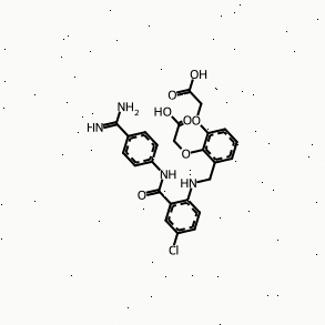 N=C(N)c1ccc(NC(=O)c2cc(Cl)ccc2NCc2cccc(OCC(=O)O)c2OCC(=O)O)cc1